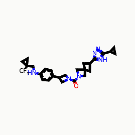 O=C(N1CC(c2ccc(NCC3(C(F)(F)F)CC3)cc2)C1)N1CC2(CC(c3nnc(C4CC4)[nH]3)C2)C1